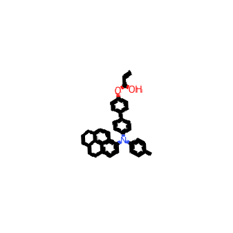 C=CC(O)Oc1ccc(-c2ccc(N(c3ccc(C)cc3)c3ccc4c5c6c(ccc35)CC=CC6=CC4)cc2)cc1